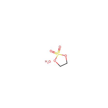 O.O=S1(=O)OCCO1